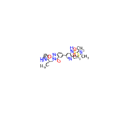 Cc1nc(C)c(S(=O)(=O)Nc2cc(-c3ccc4ncn(CC(C)C(=O)NC(C)C)c(=O)c4c3)cnc2C)s1